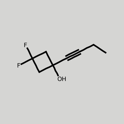 CCC#CC1(O)CC(F)(F)C1